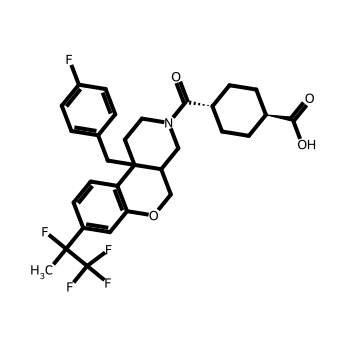 CC(F)(c1ccc2c(c1)OCC1CN(C(=O)[C@H]3CC[C@H](C(=O)O)CC3)CCC21Cc1ccc(F)cc1)C(F)(F)F